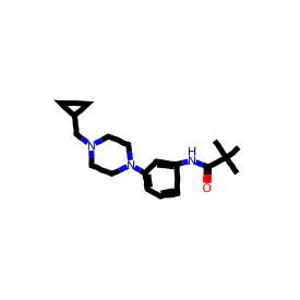 CC(C)(C)C(=O)Nc1cccc(N2CCN(CC3CC3)CC2)c1